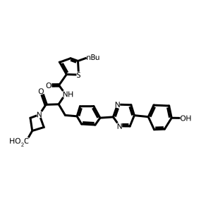 CCCCc1ccc(C(=O)NC(Cc2ccc(-c3ncc(-c4ccc(O)cc4)cn3)cc2)C(=O)N2CC(C(=O)O)C2)s1